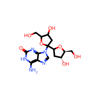 Nc1[nH]c(=O)nc2c1ncn2C1(C2C[C@@H](O)[C@H](CO)O2)CC(O)C(CO)O1